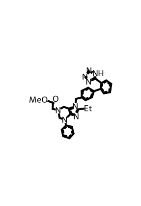 CCc1nc2c(n1Cc1ccc(-c3ccccc3-c3nnn[nH]3)cc1)CN(CC(=O)OC)CN2c1ccccc1